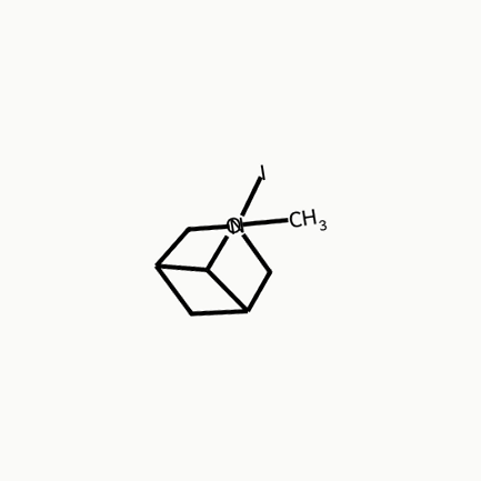 COC1C2CC1CN(I)C2